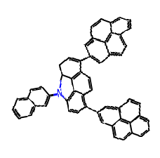 C1=C(c2cc3ccc4cccc5ccc(c2)c3c45)c2ccc3c(-c4cc5ccc6cccc7ccc(c4)c5c67)ccc4c3c2C(C1)N4c1ccc2ccccc2c1